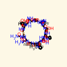 CCCC[C@H]1C(=O)N(C)[C@@H](CCCC)C(=O)N[C@@H](CCCN)C(=O)N[C@H](C(=O)NCC(N)=O)CSCC(=O)N[C@@H](Cc2ccc(O)cc2)C(=O)N(C)[C@@H](C)C(=O)N[C@@H](CC(N)=O)C(O)N2CCC[C@H]2C(=O)N[C@@H](Cc2cnc[nH]2)C(=O)N[C@@H](CC(C)C)C(=O)N2C[C@H](O)C[C@H]2C(=O)N[C@@H](Cc2c[nH]c3ccccc23)C(=O)N[C@@H](CO)C(=O)N[C@H](Cc2cn(C)c3ccccc23)C(=O)N1C